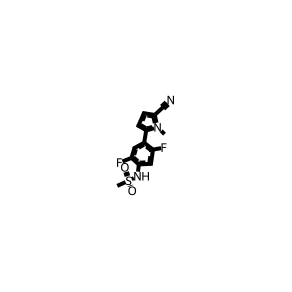 Cn1c(C#N)ccc1-c1cc(F)c(NS(C)(=O)=O)cc1F